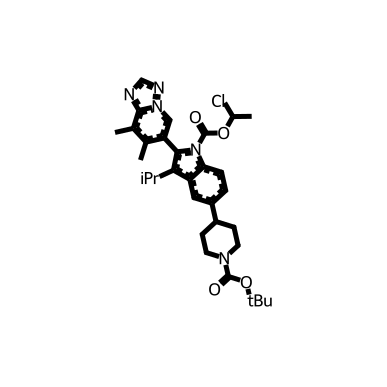 Cc1c(-c2c(C(C)C)c3cc(C4CCN(C(=O)OC(C)(C)C)CC4)ccc3n2C(=O)OC(C)Cl)cn2ncnc2c1C